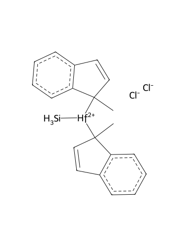 C[C]1([Hf+2]([SiH3])[C]2(C)C=Cc3ccccc32)C=Cc2ccccc21.[Cl-].[Cl-]